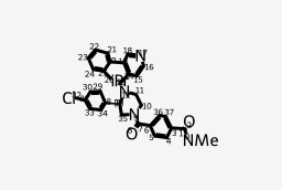 CNC(=O)c1ccc(C(=O)N2CCN(Cc3ccncc3-c3ccccc3C(C)C)[C@H](c3ccc(Cl)cc3)C2)cc1